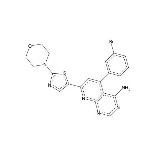 Nc1ncnc2nc(-c3cnc(N4CCOCC4)s3)cc(-c3cccc(Br)c3)c12